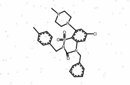 Cc1ccc(CN2C(=O)N(Cc3ccccc3)c3cc(Cl)cc(N4CCN(C)CC4)c3S2(=O)=O)cc1